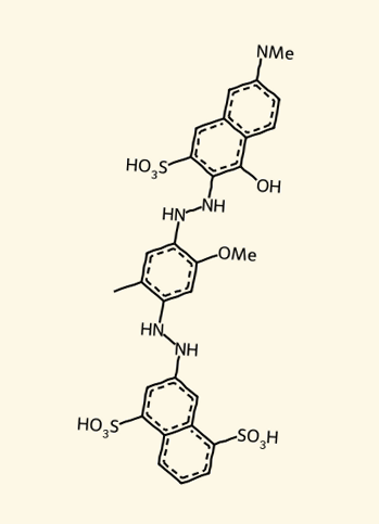 CNc1ccc2c(O)c(NNc3cc(C)c(NNc4cc(S(=O)(=O)O)c5cccc(S(=O)(=O)O)c5c4)cc3OC)c(S(=O)(=O)O)cc2c1